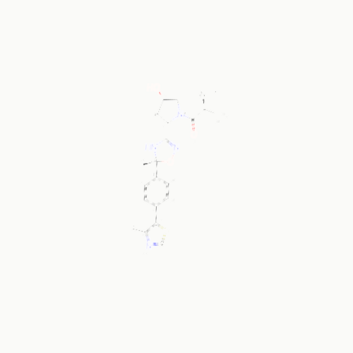 CC(=O)N[C@H](C(=O)N1C[C@H](O)C[C@H]1C1=NO[C@](C)(c2ccc(-c3scnc3C)cc2)N1)C(C)(C)C